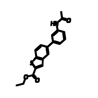 CCOC(=O)c1cc2cc(-c3cccc(NC(C)=O)c3)ccc2s1